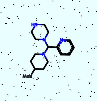 CNC1CCN(C(c2ccccn2)N2CCNCC2)CC1